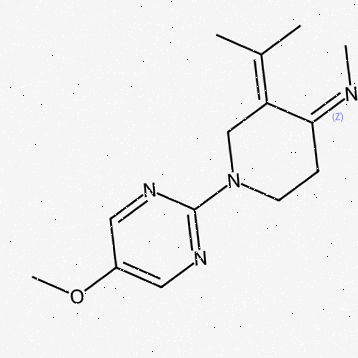 C/N=C1/CCN(c2ncc(OC)cn2)CC1=C(C)C